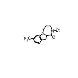 CCN1CCCN2c3cc(C(F)(F)F)ccc3CC2C1=O